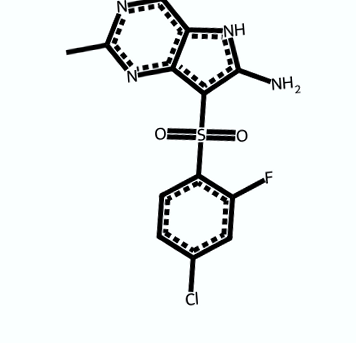 Cc1ncc2[nH]c(N)c(S(=O)(=O)c3ccc(Cl)cc3F)c2n1